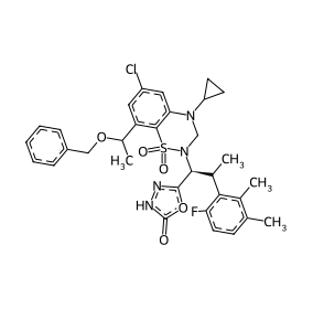 Cc1ccc(F)c(C(C)[C@@H](c2n[nH]c(=O)o2)N2CN(C3CC3)c3cc(Cl)cc(C(C)OCc4ccccc4)c3S2(=O)=O)c1C